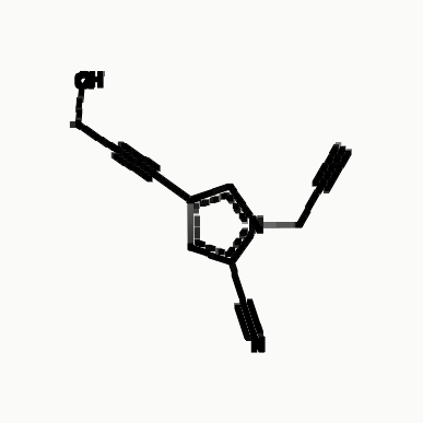 C#CCn1cc(C#C[CH]O)cc1C#N